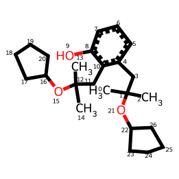 CC(C)(Cc1cccc(O)c1CC(C)(C)OC1CCCC1)OC1CCCC1